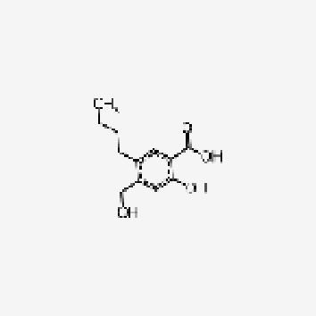 CCCCc1cc(C(=O)O)c(O)cc1CO